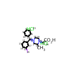 CC1CN([C@H](c2ccccc2)c2cccc(I)c2)CCN1CC(=O)O.Cl.Cl